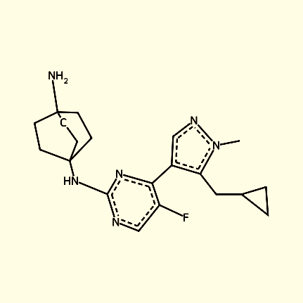 Cn1ncc(-c2nc(NC34CCC(N)(CC3)CC4)ncc2F)c1CC1CC1